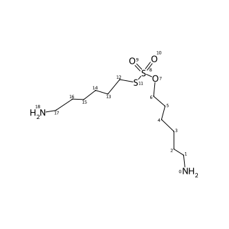 NCCCCCCOS(=O)(=O)SCCCCCCN